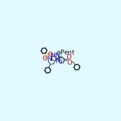 CCCCCN[C@H]1C[C@@H](C(=O)OCc2ccccc2)CCN1CCC(CN(C)S(=O)(=O)c1ccccc1)c1ccccc1